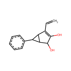 C=CC1=C(O)C(O)C2C1C2c1ccccc1